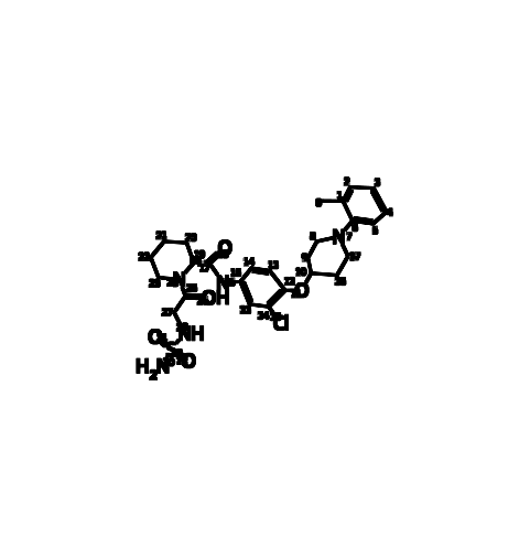 Cc1ccccc1N1CCC(Oc2ccc(NC(=O)[C@H]3CCCCN3C(=O)CNS(N)(=O)=O)cc2Cl)CC1